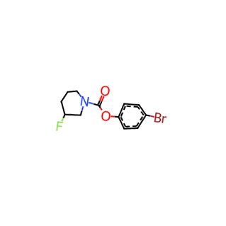 O=C(Oc1ccc(Br)cc1)N1CCCC(F)C1